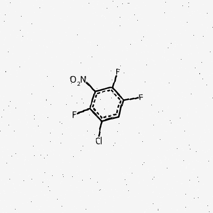 O=[N+]([O-])c1c(F)c(F)cc(Cl)c1F